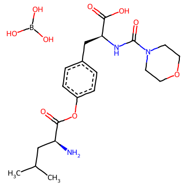 CC(C)C[C@H](N)C(=O)Oc1ccc(C[C@H](NC(=O)N2CCOCC2)C(=O)O)cc1.OB(O)O